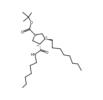 CCCCCCCC[C@@H]1CN(C(=O)OC(C)(C)C)C[C@H]1C(=O)NCCCCCC